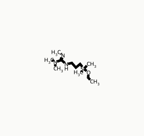 CCO[Si](C)(C)CCCNC(=NC)N(C)C